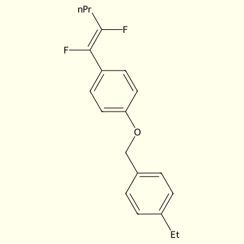 CCCC(F)=C(F)c1ccc(OCc2ccc(CC)cc2)cc1